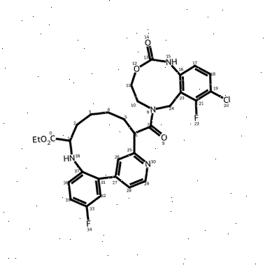 CCOC(=O)C1CCCCC(C(=O)N2CCOC(=O)Nc3ccc(Cl)c(F)c3C2)c2cc(ccn2)-c2cc(F)ccc2N1